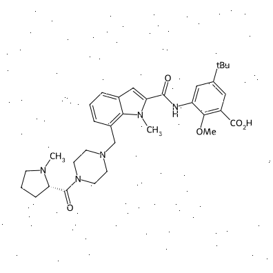 COc1c(NC(=O)c2cc3cccc(CN4CCN(C(=O)[C@@H]5CCCN5C)CC4)c3n2C)cc(C(C)(C)C)cc1C(=O)O